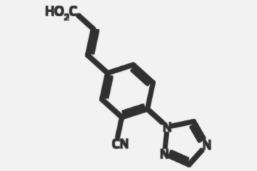 N#Cc1cc(C=CC(=O)O)ccc1-n1cncn1